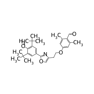 Cc1cc(OCCc2coc(-c3cc(C(C)(C)C)c(O)c(C(C)(C)C)c3)n2)cc(C)c1C=O